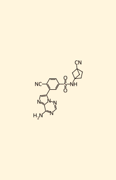 N#Cc1ccc(S(=O)(=O)NC23CCC(C#N)(C2)C3)cc1-c1cnc2c(N)ncnn12